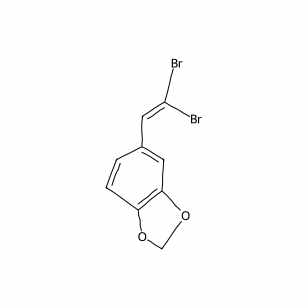 BrC(Br)=Cc1ccc2c(c1)OCO2